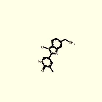 CCn1c(-c2c[nH]c(=O)c(C)c2)nc2cc(CN)ccc21